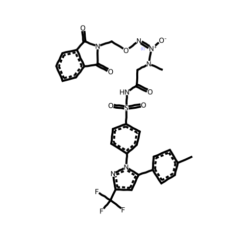 Cc1ccc(-c2cc(C(F)(F)F)nn2-c2ccc(S(=O)(=O)NC(=O)CN(C)/[N+]([O-])=N\OCN3C(=O)c4ccccc4C3=O)cc2)cc1